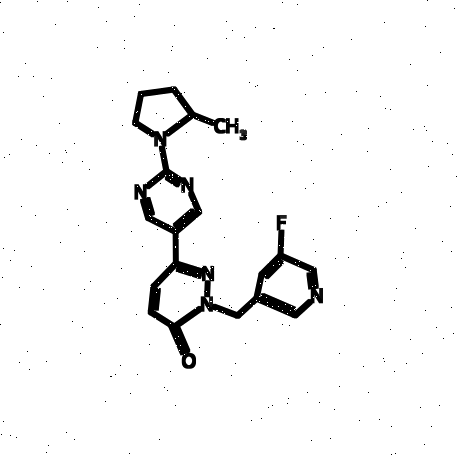 CC1CCCN1c1ncc(-c2ccc(=O)n(Cc3cncc(F)c3)n2)cn1